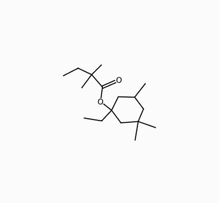 CCC1(OC(=O)C(C)(C)CC)CC(C)CC(C)(C)C1